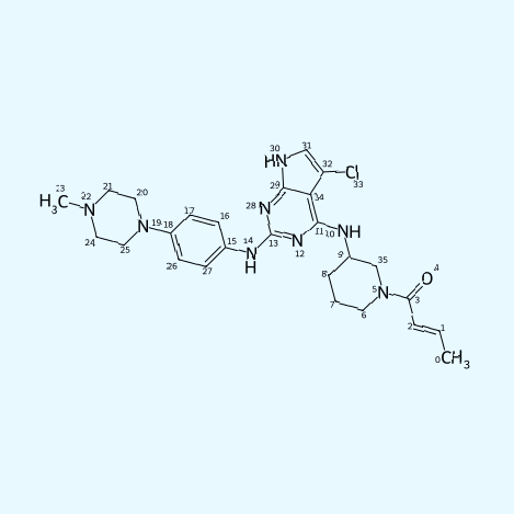 C/C=C/C(=O)N1CCCC(Nc2nc(Nc3ccc(N4CCN(C)CC4)cc3)nc3[nH]cc(Cl)c23)C1